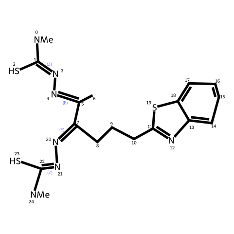 CN/C(S)=N/N=C(C)/C(CCCc1nc2ccccc2s1)=N/N=C(\S)NC